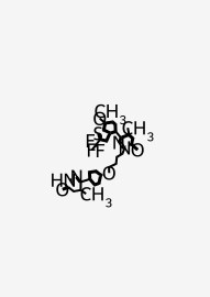 COc1ccc(-c2nn(CCCCOc3ccc(C4=NNC(=O)CC4C)cc3)c(=O)cc2C)c2cc(C(F)(F)F)sc12